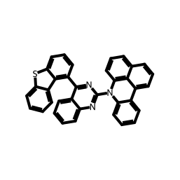 c1ccc2c(c1)-c1cccc3cccc(c13)N2c1nc(-c2cccc3sc4ccccc4c23)c2ccccc2n1